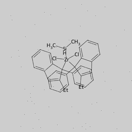 CCC1=Cc2ccccc2[C]1(c1ccccc1)[Zr]([Cl])([Cl])([SiH](C)C)[C]1(c2ccccc2)C(CC)=Cc2ccccc21